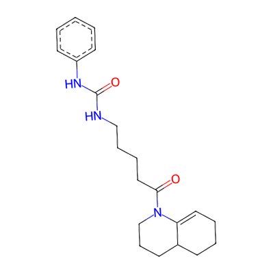 O=C(NCCCCC(=O)N1CCCC2CCCC=C21)Nc1ccccc1